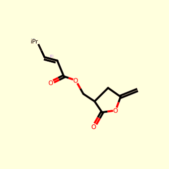 C=C1CC(COC(=O)/C=C/C(C)C)C(=O)O1